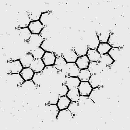 CCCCO[C@@H]1C(CO[C@H]2OC(CO)[C@@H](O)C(O)[C@H]2O)O[C@H](OCC2O[C@@H](O[C@@H]3C(CO)O[C@@H](O[C@@H]4C(CO)OC(O)C(C)[C@H]4O)[C@@H](C)C3O)[C@H](O)C(O[C@@H]3OC(CO)[C@H](O)C(O)[C@@H]3O)[C@@H]2O)[C@H](O)C1O[C@@H]1OC(CO)[C@H](O)C(O)[C@@H]1O